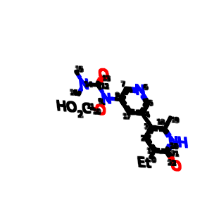 CCc1cc(-c2cncc(N(OC(=O)O)C(=O)N(C)C)c2)c(C)[nH]c1=O